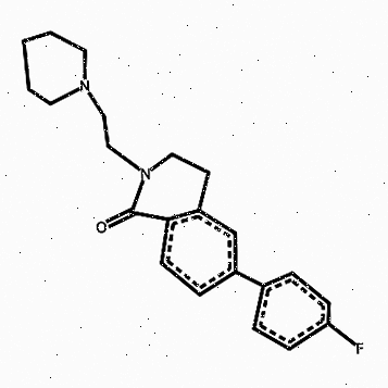 O=C1c2ccc(-c3ccc(F)cc3)cc2CCN1CCN1CCCCC1